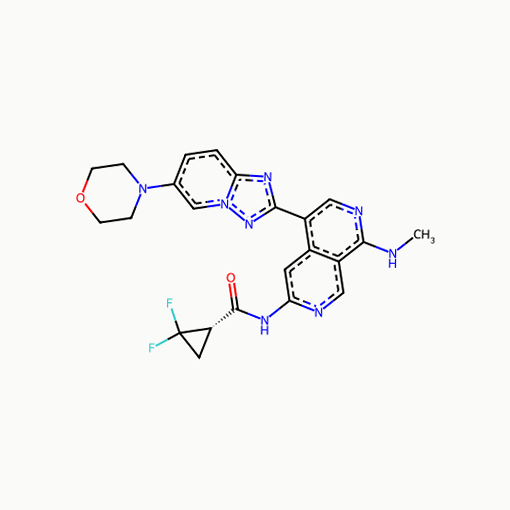 CNc1ncc(-c2nc3ccc(N4CCOCC4)cn3n2)c2cc(NC(=O)[C@@H]3CC3(F)F)ncc12